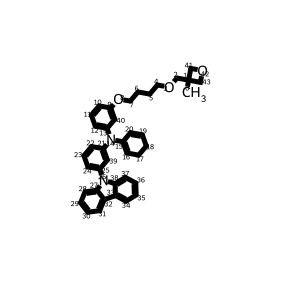 CC1(COCCCCOc2cccc(N(C3=CCCC=C3)c3cccc(-n4c5ccccc5c5ccccc54)c3)c2)COC1